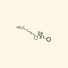 O=C(O)CCC/C=C/CC1CCCC1NS(=O)(=O)/C=C/c1ccccc1